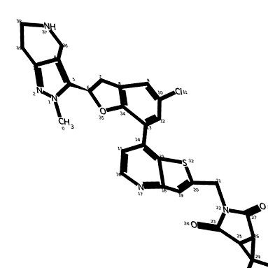 Cn1nc2c(c1[C@H]1Cc3cc(Cl)cc(-c4ccnc5cc(CN6C(=O)C7C(C6=O)C7(C)C)sc45)c3O1)CNCC2